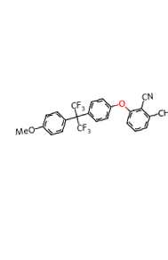 COc1ccc(C(c2ccc(Oc3cccc(C)c3C#N)cc2)(C(F)(F)F)C(F)(F)F)cc1